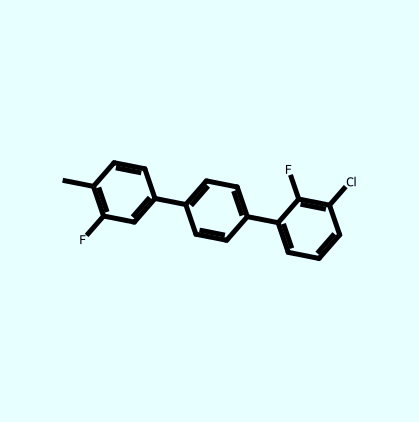 Cc1ccc(-c2ccc(-c3cccc(Cl)c3F)cc2)cc1F